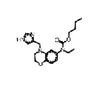 CCCCOC(=O)N(CC)c1ccc2c(c1)N(Cc1c[nH]cn1)CCO2